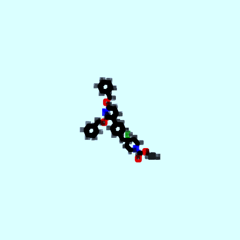 CC(C)(C)OC(=O)N1CCC(F)(Cc2ccc(-c3ccc(OCc4ccccc4)nc3OCc3ccccc3)cc2)CC1